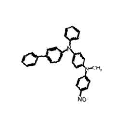 CN(c1ccc(N=O)cc1)c1ccc(N(c2ccccc2)c2ccc(-c3ccccc3)cc2)cc1